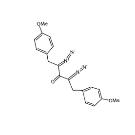 COc1ccc(CC(=[N+]=[N-])C(=O)C(Cc2ccc(OC)cc2)=[N+]=[N-])cc1